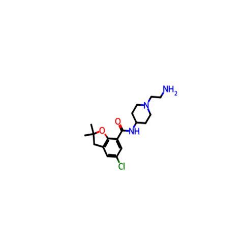 CC1(C)Cc2cc(Cl)cc(C(=O)NC3CCN(CCN)CC3)c2O1